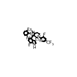 CCCc1cccc(CC)c1-n1nc2c(c1-c1ccc(F)c3[nH]cc(Cl)c13)CN(c1ncc(C(F)(F)F)cc1F)CC2